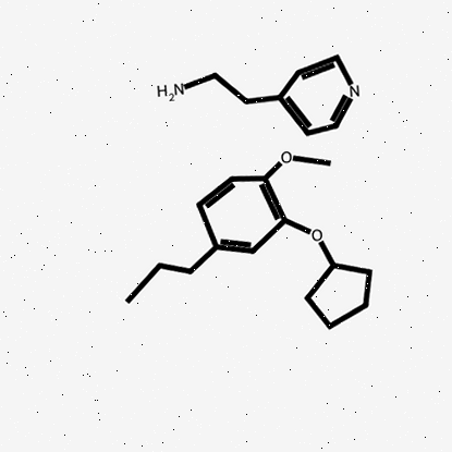 CCCc1ccc(OC)c(OC2CCCC2)c1.NCCc1ccncc1